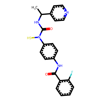 CC(NC(=O)N(S)c1ccc(NC(=O)c2ccccc2F)cc1)c1ccncc1